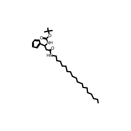 CCCCCCCCCCCCCCCCCCNC(=O)CC(NC(=O)OC(C)(C)C)c1ccccc1